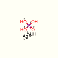 O=P(O)(O)O.[Ag].[Fe].[LiH]